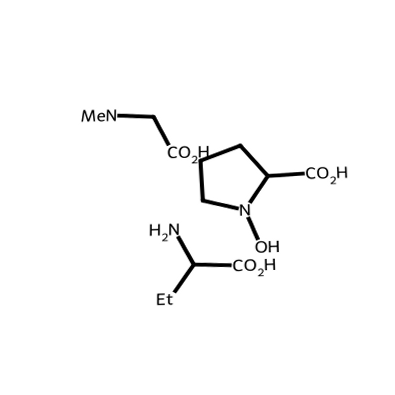 CCC(N)C(=O)O.CNCC(=O)O.O=C(O)C1CCCN1O